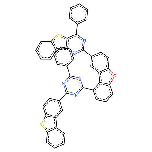 c1ccc(-c2nc(-c3ccc4sc5ccccc5c4c3)nc(-c3cccc4oc5ccc(-c6nc(-c7ccccc7)c7sc8ccccc8c7n6)cc5c34)n2)cc1